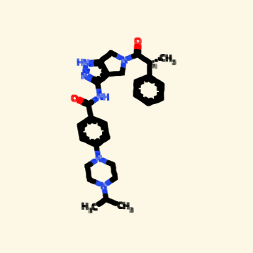 CC(C)N1CCN(c2ccc(C(=O)Nc3n[nH]c4c3CN(C(=O)[C@H](C)c3ccccc3)C4)cc2)CC1